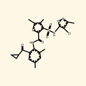 Cc1cc(C)c(NC(=O)c2sc(C)c(C)c2S(=O)(=O)Nc2onc(C)c2Cl)c(C(=O)C2CC2)c1